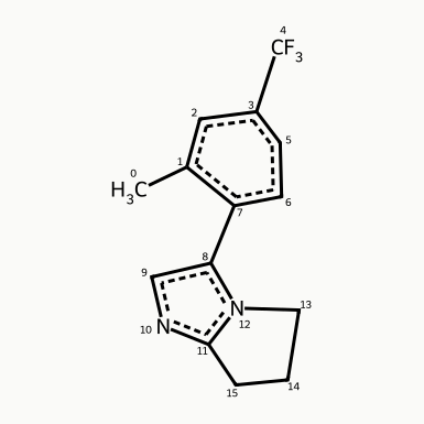 Cc1cc(C(F)(F)F)ccc1-c1cnc2n1CCC2